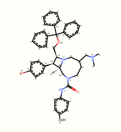 COc1ccc(NC(=O)N2CCC(CN(C)C)CN3[C@H](COC(c4ccccc4)(c4ccccc4)c4ccccc4)[C@H](c4ccc(Br)cc4)[C@@H]3C2)cc1